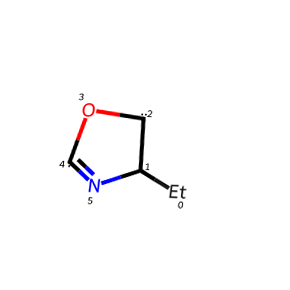 CCC1[C]O[C]=N1